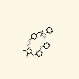 CN1C(=O)N(Cc2cccc(Oc3ccccc3)c2)C[C@@H]1CCOc1ccc(C[C@](C)(Oc2ccccc2)C(=O)O)cc1